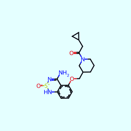 NC1=N[S+]([O-])Nc2cccc(OCC3CCCN(C(=O)CC4CC4)C3)c21